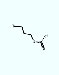 S=C(Cl)SCCCCl